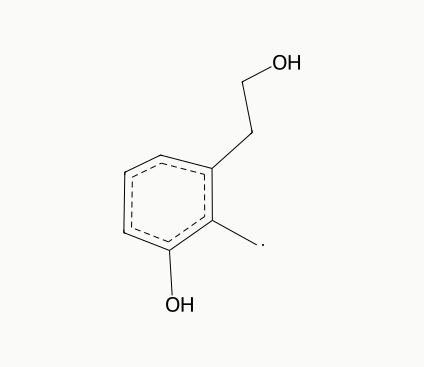 [CH2]c1c(O)cccc1CCO